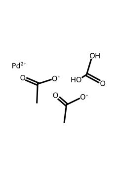 CC(=O)[O-].CC(=O)[O-].O=C(O)O.[Pd+2]